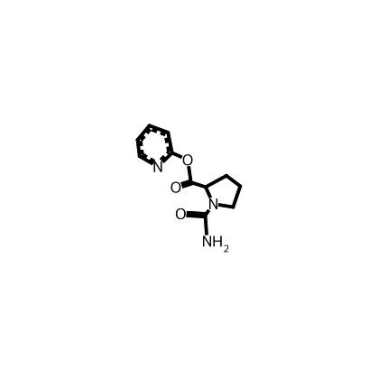 NC(=O)N1CCCC1C(=O)Oc1ccccn1